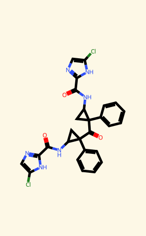 O=C(NC1CC1(C(=O)C1(c2ccccc2)CC1NC(=O)c1ncc(Cl)[nH]1)c1ccccc1)c1ncc(Cl)[nH]1